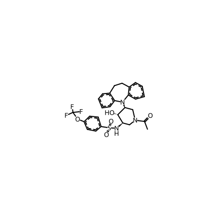 CC(=O)N1C[C@@H](NS(=O)(=O)c2ccc(OC(F)(F)F)cc2)[C@H](O)[C@@H](N2c3ccccc3CCc3ccccc32)C1